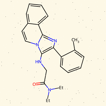 CCN(CC)C(=O)CNc1c(-c2ccccc2C)nc2c3ccccc3ccn12